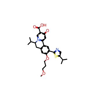 COCCCOc1cc2c(cc1-c1ncc(C(C)C)s1)-c1cc(=O)c(C(=O)O)cn1C(C(C)C)C2